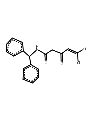 O=C(C=C(Cl)Cl)CC(=O)NC(c1ccccc1)c1ccccc1